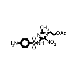 CC(=O)OCCn1c(C)nc(NS(=O)(=O)c2ccc(N)cc2)c1[N+](=O)[O-]